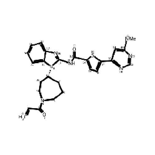 C=CC(=O)N1CCC[C@@H](n2c(NC(=O)c3ccc(-c4cc(NC)ncn4)s3)nc3ccccc32)CC1